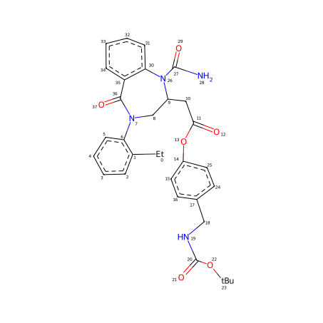 CCc1ccccc1N1CC(CC(=O)Oc2ccc(CNC(=O)OC(C)(C)C)cc2)N(C(N)=O)c2ccccc2C1=O